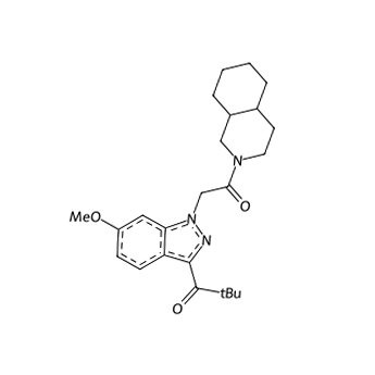 COc1ccc2c(C(=O)C(C)(C)C)nn(CC(=O)N3CCC4CCCCC4C3)c2c1